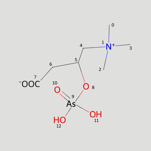 C[N+](C)(C)CC(CC(=O)[O-])O[As](=O)(O)O